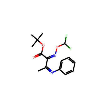 CC(=Nc1ccccc1)C(=NOC(F)F)C(=O)OC(C)(C)C